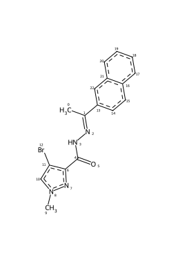 CC(=NNC(=O)c1nn(C)cc1Br)c1ccc2ccccc2c1